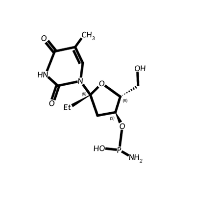 CC[C@]1(n2cc(C)c(=O)[nH]c2=O)C[C@H](OP(N)O)[C@@H](CO)O1